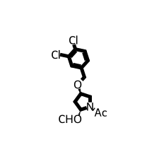 CC(=O)N1C[C@H](OCc2ccc(Cl)c(Cl)c2)C[C@H]1C=O